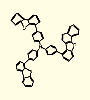 c1ccc2c(c1)ccc1c2oc2cccc(-c3ccc(N(c4ccc(-c5cccc6c5oc5ccccc56)cc4)c4ccc(-c5cccc6c5sc5ccccc56)cc4)cc3)c21